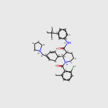 Cc1cccc(F)c1C(=O)N1CCCC(C(=O)Nc2cccc(C(C)(C)C)c2)[C@@H]1C1C=CC(CN2CCCC2)=CC1